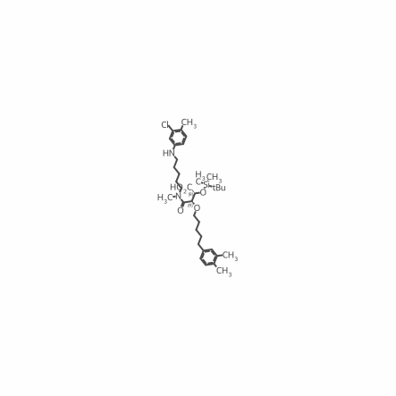 Cc1ccc(CCCCCO[C@@H](C(=O)N(C)CCCCCNc2ccc(C)c(Cl)c2)[C@@H](O[Si](C)(C)C(C)(C)C)C(=O)O)cc1C